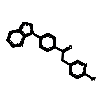 O=C(Cc1ccc(Br)nc1)c1ccc(-n2ccc3cccnc32)cc1